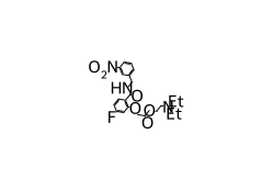 CCN(CC)CCOC(=O)COc1cc(F)ccc1C(=O)NCc1cccc([N+](=O)[O-])c1